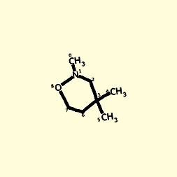 CN1CC(C)(C)CCO1